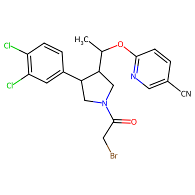 CC(Oc1ccc(C#N)cn1)C1CN(C(=O)CBr)CC1c1ccc(Cl)c(Cl)c1